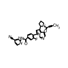 CC#CC(=O)N1CCCC1c1cc(-c2ccc(C(=O)Nc3cc(C#N)ccn3)cc2F)n2cnccc12